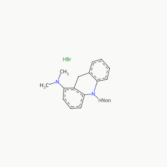 Br.CCCCCCCCCN1c2ccccc2Cc2c(N(C)C)cccc21